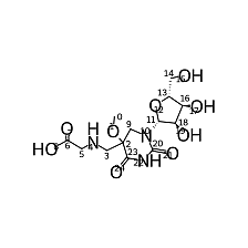 COC1(CNCC(=O)O)CN([C@@H]2O[C@H](CO)[C@@H](O)[C@H]2O)C(=O)NC1=O